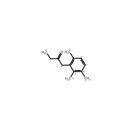 CCC(=O)Cc1c(C)ccc(C)c1C